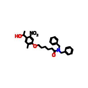 Cc1cc(C(C)O)c([N+](=O)[O-])cc1OCCCCCC(=O)N(Cc1ccccc1)Cc1ccccc1